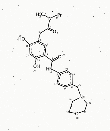 CC(C)N(C)C(=O)Cc1cc(C(=O)Nc2ccc(CN3CCOCC3)cc2)c(O)cc1O